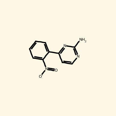 Nc1nccc(-c2ccccc2[N+](=O)[O-])n1